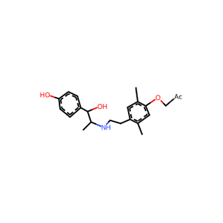 CC(=O)COc1cc(C)c(CCNC(C)C(O)c2ccc(O)cc2)cc1C